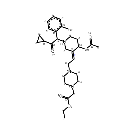 CCOC(=O)CN1CCN(C/C=C2\CN(C(C(=O)C3CC3)c3ccccc3F)CCC2SC(C)=O)CC1